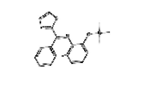 Cc1cccc(O[Si](C)(C)C)c1N=C(c1ccccc1)c1cccs1